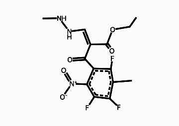 CCOC(=O)/C(=C/NNC)C(=O)c1c(F)c(C)c(F)c(F)c1[N+](=O)[O-]